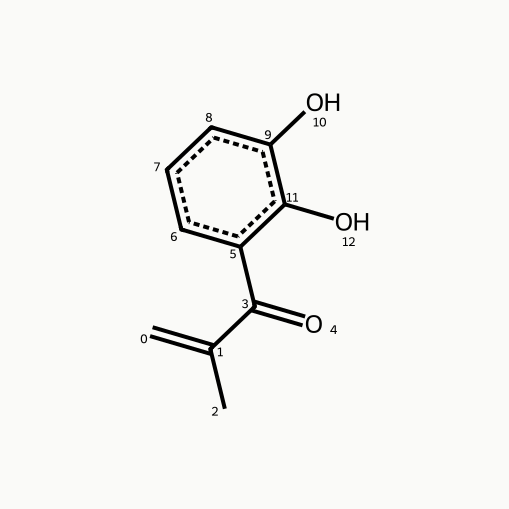 C=C(C)C(=O)c1cccc(O)c1O